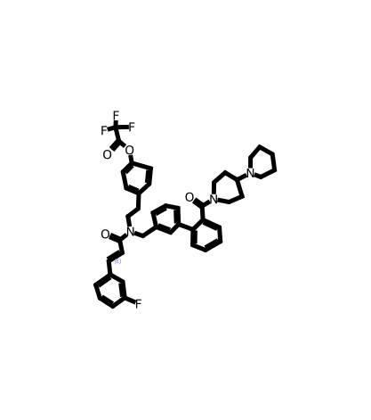 O=C(/C=C/c1cccc(F)c1)N(CCc1ccc(OC(=O)C(F)(F)F)cc1)Cc1cccc(-c2ccccc2C(=O)N2CCC(N3CCCCC3)CC2)c1